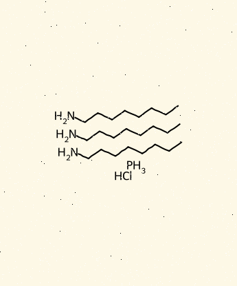 CCCCCCCCN.CCCCCCCCN.CCCCCCCCN.Cl.P